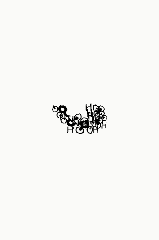 COc1cccc2c(Cn3c(=O)ccn([C@@H]4O[C@H](COP(=O)(O)OP(=O)(O)OP(=O)(O)O)[C@H](O)C4O)c3=O)noc12